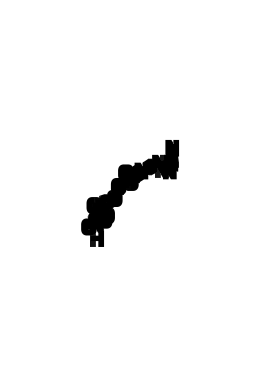 N#Cc1ccc2ncnc(N[C@H]3CC[C@@H](N4CCN(S(=O)(=O)CCOCCOc5ccc6c(c5)C(=O)N(C5CCC(=O)NC5=O)C6=O)CC4)CC3)c2c1